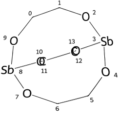 C1C[O][Sb]2[O]CC[O][Sb]([O]1)[O]CC[O]2